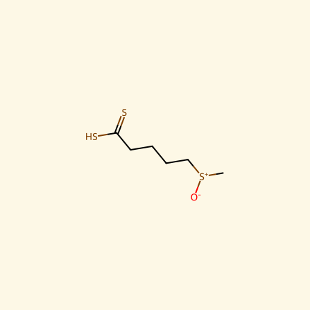 C[S+]([O-])CCCCC(=S)S